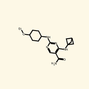 CCOC1CCC(Nc2ncc(C(N)=O)c(NC34CC(C3)C4)n2)CC1